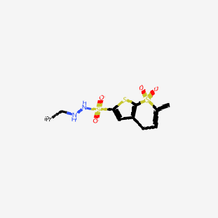 CC1=CCc2cc(S(=O)(=O)NNCC(C)C)sc2S1(=O)=O